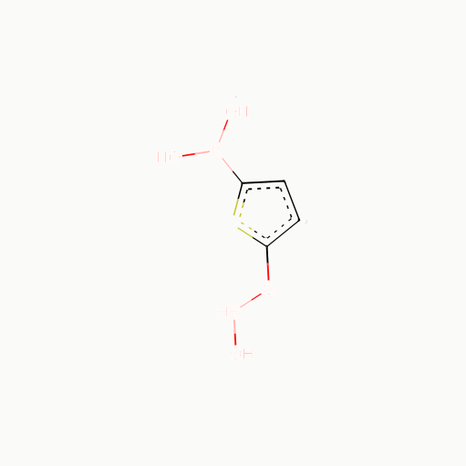 OBOc1ccc(B(O)O)s1